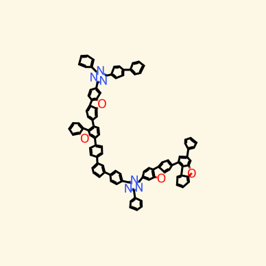 c1ccc(-c2ccc(-c3nc(-c4ccccc4)nc(-c4ccc5c(c4)oc4cc(-c6ccc(-c7ccc(-c8cccc(-c9ccc(-c%10nc(-c%11ccccc%11)nc(-c%11ccc%12c(c%11)oc%11cc(-c%13cc(-c%14ccccc%14)cc%14oc%15ccccc%15c%13%14)ccc%11%12)n%10)cc9)c8)cc7)c7oc8ccccc8c67)ccc45)n3)cc2)cc1